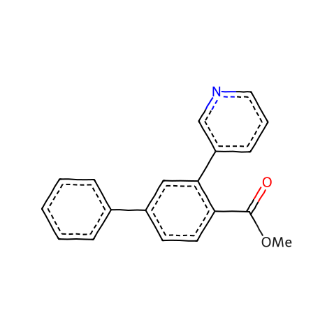 COC(=O)c1ccc(-c2ccccc2)cc1-c1cccnc1